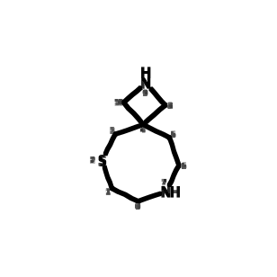 C1CSCC2(CCN1)CNC2